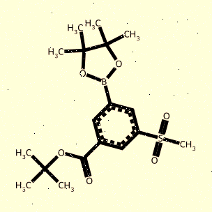 CC(C)(C)OC(=O)c1cc(B2OC(C)(C)C(C)(C)O2)cc(S(C)(=O)=O)c1